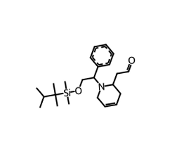 CC(C)C(C)(C)[Si](C)(C)OCC(c1ccccc1)N1CC=CCC1CC=O